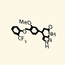 COc1cc(C2CC(=O)Nc3n[nH]cc32)ccc1COc1ccccc1C(F)(F)F